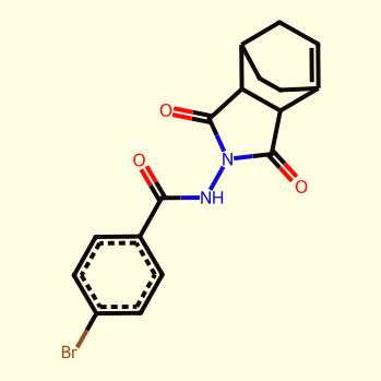 O=C(NN1C(=O)C2C3=CCC(CC3)C2C1=O)c1ccc(Br)cc1